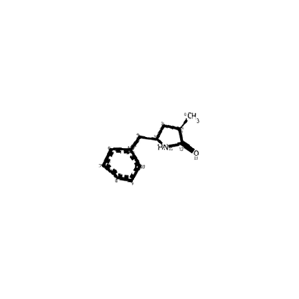 C[C@@H]1CC(Cc2ccccc2)NC1=O